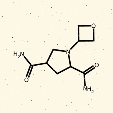 NC(=O)C1CC(C(N)=O)N(C2COC2)C1